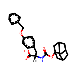 CC(Cc1ccc(OCc2ccccc2)cc1)(NC(=O)OC12CC3CC(CC(C3)C1)C2)C(=O)O